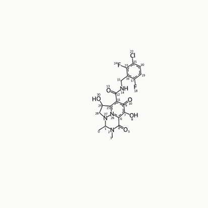 CC1N(C)C(=O)c2c(O)c(=O)c(C(=O)NCc3c(F)ccc(Cl)c3F)c3n2N1CC3O